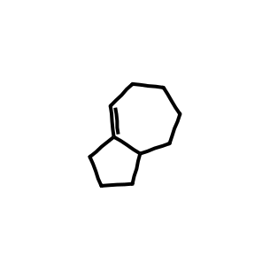 C1=C2CCCC2CCCC1